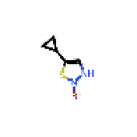 BrN1NC=C(C2CC2)S1